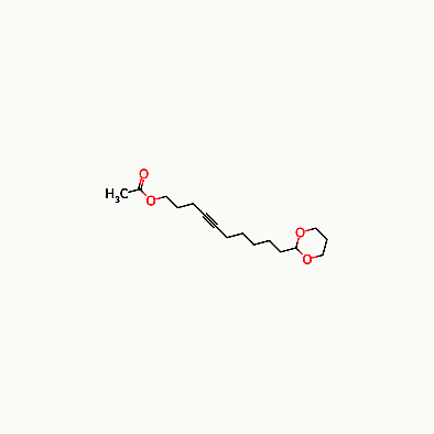 CC(=O)OCCCC#CCCCCCC1OCCCO1